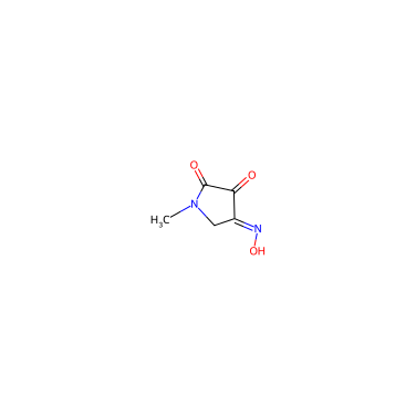 CN1CC(=NO)C(=O)C1=O